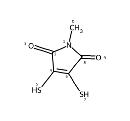 CN1C(=O)C(S)=C(S)C1=O